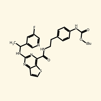 CC(Nc1nc(C(=O)NCCc2ccc(NC(=O)OC(C)(C)C)cc2)c2sccc2n1)c1cncc(F)c1